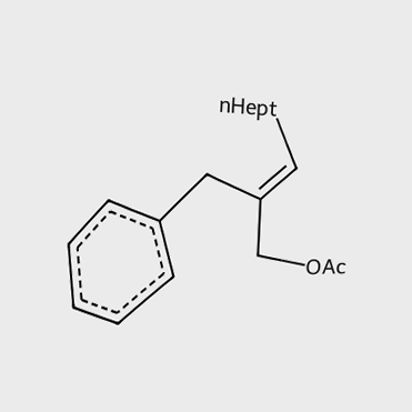 CCCCCCC/C=C(/COC(C)=O)Cc1ccccc1